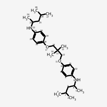 CC(C)CC(C)Nc1ccc(OCC(C)(C)COc2ccc(NC(C)CC(C)C)cc2)cc1